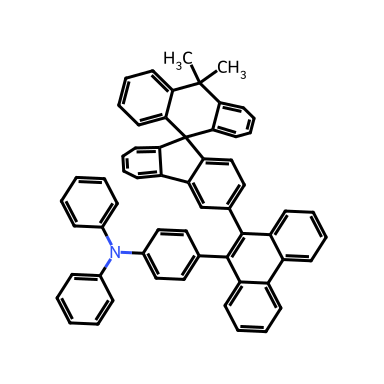 CC1(C)c2ccccc2C2(c3ccccc3-c3cc(-c4c(-c5ccc(N(c6ccccc6)c6ccccc6)cc5)c5ccccc5c5ccccc45)ccc32)c2ccccc21